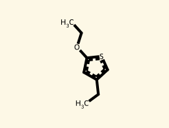 CCOc1cc(CC)cs1